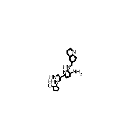 N=C/C(=C\NC1CCCC1O)c1ccc(N)c(NCc2ccc3ncccc3c2)n1